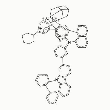 C[Si](C)(C)c1ccc2c(c1)c1ccc(-c3ccc4c5ccccc5n(-c5ccccc5-c5ccccc5)c4c3)cc1n2-c1cccc2cccc(-c3ccc4c(c3)C3(c5ccc(C6CCCCC6)cc5-4)C4CC5CC(C4)CC3C5)c12